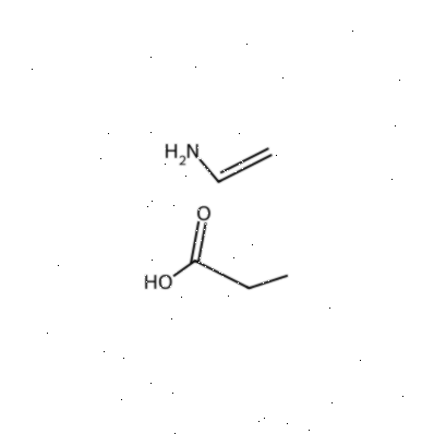 C=CN.CCC(=O)O